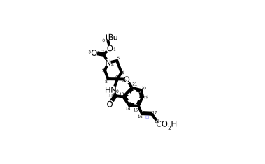 CC(C)(C)OC(=O)N1CCC2(CC1)NC(=O)c1cc(/C=C/C(=O)O)ccc1O2